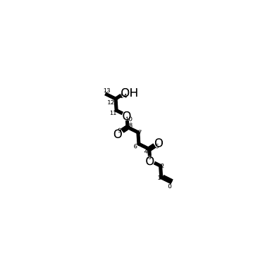 C=CCOC(=O)CCC(=O)OCC(C)O